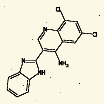 Nc1c(-c2nc3ccccc3[nH]2)cnc2c(Cl)cc(Cl)cc12